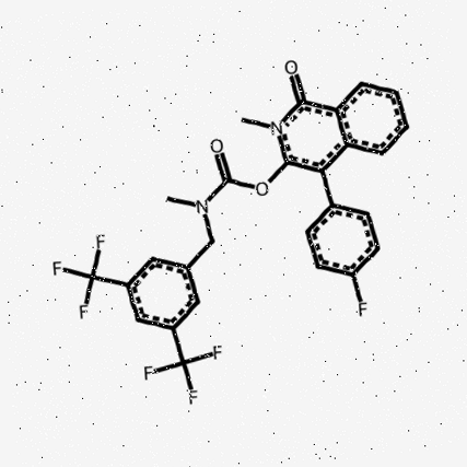 CN(Cc1cc(C(F)(F)F)cc(C(F)(F)F)c1)C(=O)Oc1c(-c2ccc(F)cc2)c2ccccc2c(=O)n1C